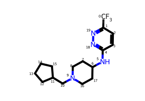 FC(F)(F)c1ccc(NC2CCN(CC3CCCC3)CC2)nn1